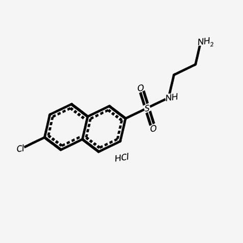 Cl.NCCNS(=O)(=O)c1ccc2cc(Cl)ccc2c1